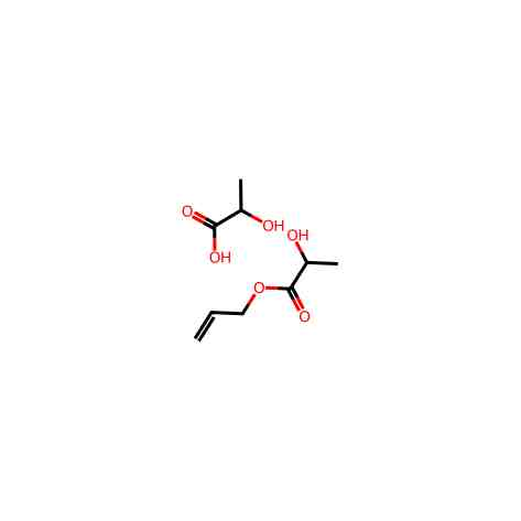 C=CCOC(=O)C(C)O.CC(O)C(=O)O